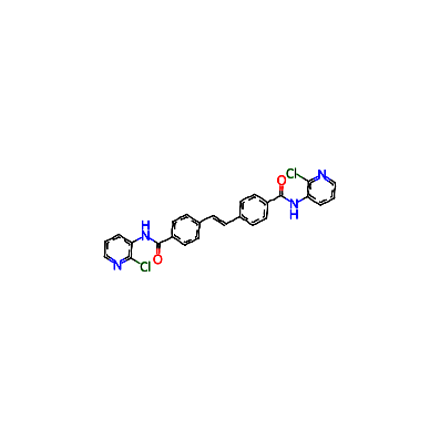 O=C(Nc1cccnc1Cl)c1ccc(C=Cc2ccc(C(=O)Nc3cccnc3Cl)cc2)cc1